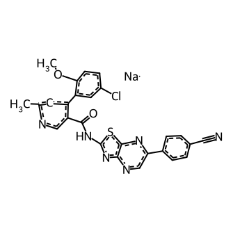 COc1ccc(Cl)cc1-c1cc(C)ncc1C(=O)Nc1nc2ncc(-c3ccc(C#N)cc3)nc2s1.[Na]